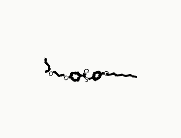 CCCCCCCCOc1ccc(SC(=O)c2ccc(OCCCOC(C)CCC)cc2)cc1